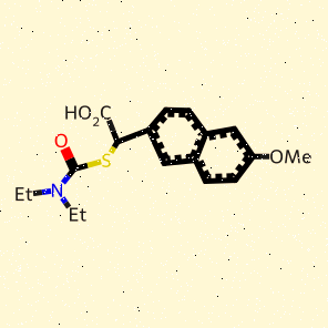 CCN(CC)C(=O)SC(C(=O)O)c1ccc2cc(OC)ccc2c1